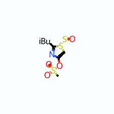 CCC(C)C1=NC(OS(C)(=O)=O)=CS1=S=O